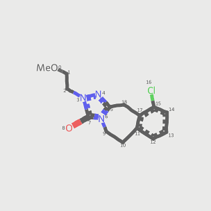 COCCn1nc2n(c1=O)CCc1cccc(Cl)c1C2